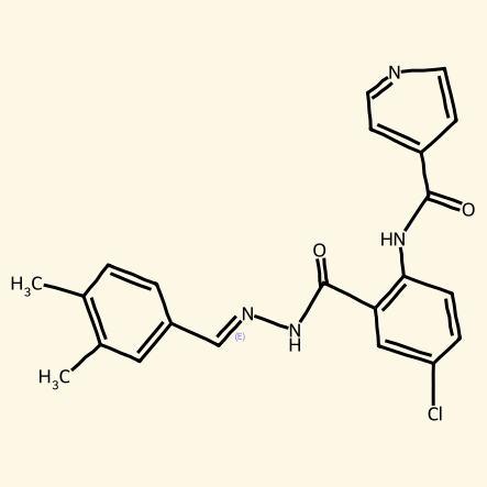 Cc1ccc(/C=N/NC(=O)c2cc(Cl)ccc2NC(=O)c2ccncc2)cc1C